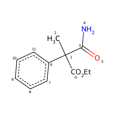 CCOC(=O)C(C)(C(N)=O)c1ccccc1